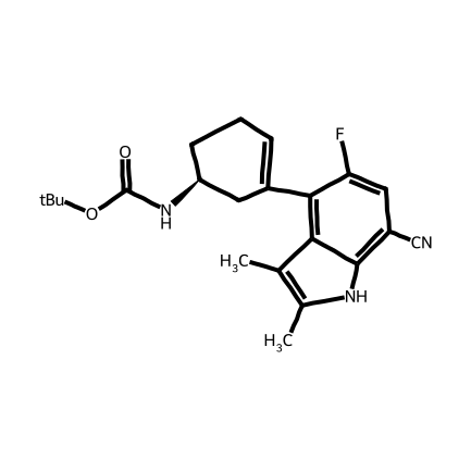 Cc1[nH]c2c(C#N)cc(F)c(C3=CCC[C@H](NC(=O)OC(C)(C)C)C3)c2c1C